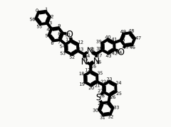 c1ccc(-c2ccc3c(c2)oc2cc(-c4nc(-c5cccc(-c6cccc7c6sc6ccccc67)c5)nc(-c5ccc6c(c5)oc5ccccc56)n4)ccc23)cc1